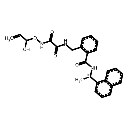 C=CC(O)ONC(=O)C(=O)NCc1ccccc1C(=O)N[C@H](C)c1cccc2ccccc12